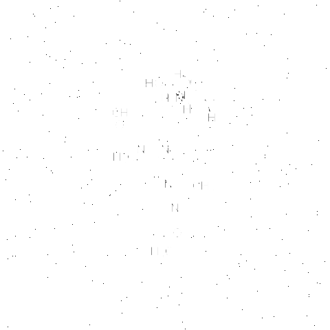 CCn1c(-c2nc3cc(C(O)N4C[C@H]5CC[C@@H]4[C@@H]5N)cc(OC)c3n2C)cc2ccc(OC)nc21